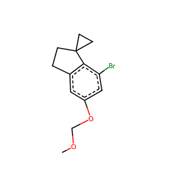 COCOc1cc(Br)c2c(c1)CCC21CC1